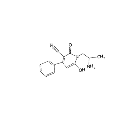 CC(N)Cn1c(O)cc(-c2ccccc2)c(C#N)c1=O